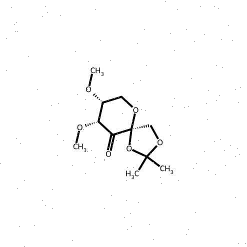 CO[C@@H]1CO[C@]2(COC(C)(C)O2)C(=O)[C@@H]1OC